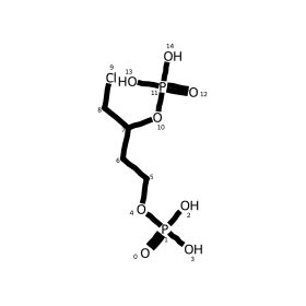 O=P(O)(O)OCCC(CCl)OP(=O)(O)O